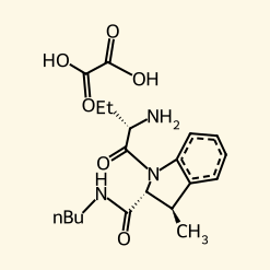 CCCCNC(=O)[C@H]1[C@H](C)c2ccccc2N1C(=O)[C@@H](N)CC.O=C(O)C(=O)O